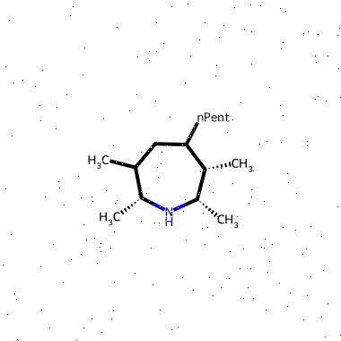 CCCCCC1CC(C)[C@@H](C)N[C@@H](C)[C@H]1C